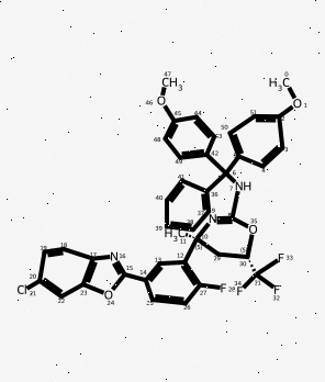 COc1ccc(C(NC2=N[C@](C)(c3cc(-c4nc5ccc(Cl)cc5o4)ccc3F)C[C@@H](C(F)(F)F)O2)(c2ccccc2)c2ccc(OC)cc2)cc1